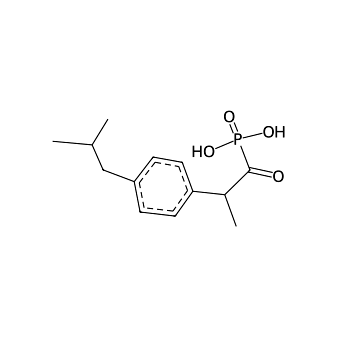 CC(C)Cc1ccc(C(C)C(=O)P(=O)(O)O)cc1